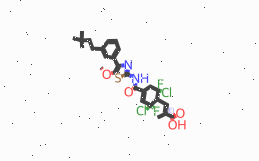 COc1sc(NC(=O)C2=CC(F)(Cl)C(/C=C(\C)C(=O)O)C(F)(Cl)C2)nc1-c1cccc(CCC(C)(C)C)c1